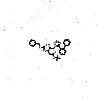 CC(C)(C)OC(=O)CC(NC(=O)OCc1ccccc1)C(=O)Cn1nnnc1-c1ccccc1-c1ccccc1